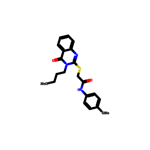 COCCCn1c(SCC(=O)Nc2ccc(OC)cc2)nc2ccccc2c1=O